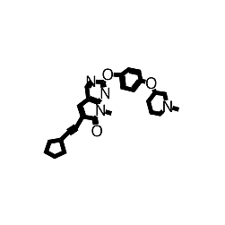 CN1CCCC(Oc2ccc(Oc3ncc4cc(C#CC5CCCC5)c(=O)n(C)c4n3)cc2)C1